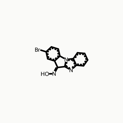 O/N=C1\c2cc(Br)ccc2-n2c1nc1ccccc12